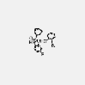 O=S(=O)(Nc1ccc(F)cn1)c1ccccc1.Oc1ccccc1C1CC1